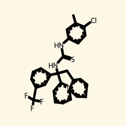 Cc1cc(NC(=S)NC(Cc2ccccc2)(c2cccc(C(F)(F)F)c2)c2ccccn2)ccc1Cl